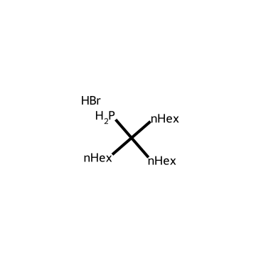 Br.CCCCCCC(P)(CCCCCC)CCCCCC